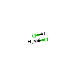 [AlH2][Cl].[Cl][Ti]